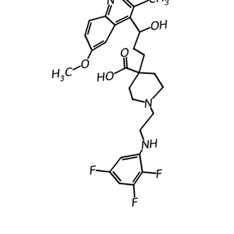 COc1ccc2ncc(C)c(C(O)CCC3(C(=O)O)CCN(CCNc4cc(F)cc(F)c4F)CC3)c2c1